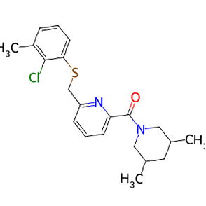 Cc1cccc(SCc2cccc(C(=O)N3CC(C)CC(C)C3)n2)c1Cl